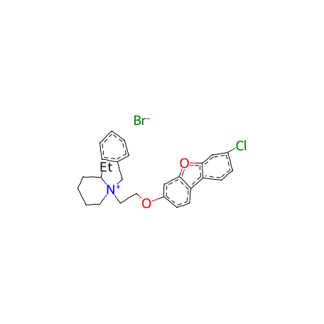 CCC1CCCC[N+]1(CCOc1ccc2c(c1)oc1cc(Cl)ccc12)Cc1ccccc1.[Br-]